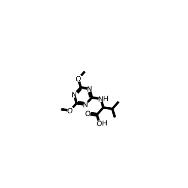 COc1nc(NC(C(=O)O)C(C)C)nc(OC)n1